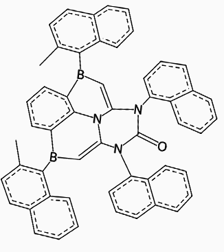 Cc1ccc2ccccc2c1B1C=C2N3C(=CB(c4c(C)ccc5ccccc45)c4cccc1c43)N(c1cccc3ccccc13)C(=O)N2c1cccc2ccccc12